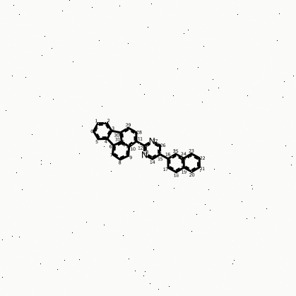 c1ccc2c(c1)-c1cccc3c(-c4ncc(-c5ccc6ccccc6c5)cn4)ccc-2c13